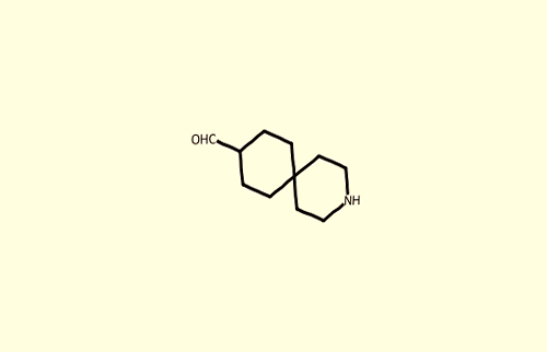 O=CC1CCC2(CCNCC2)CC1